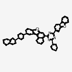 c1ccc(-c2nc(-c3ccc4c(c3)oc3ccccc34)nc(-c3cc4oc5ccc(-c6ccc(-c7ccc8ccccc8c7)cc6)cc5c4c4ccccc34)n2)cc1